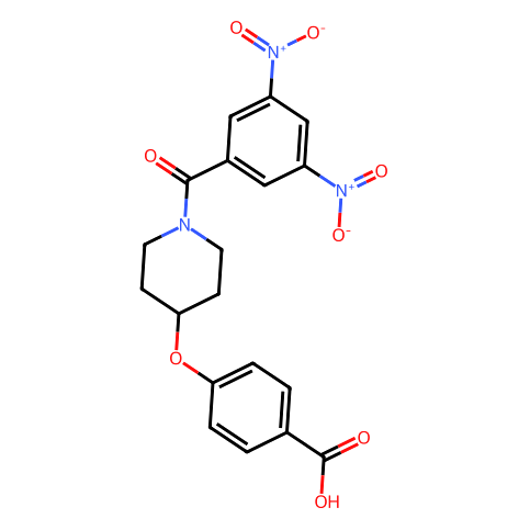 O=C(O)c1ccc(OC2CCN(C(=O)c3cc([N+](=O)[O-])cc([N+](=O)[O-])c3)CC2)cc1